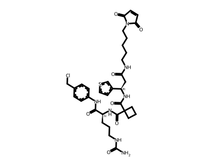 NC(=O)NCCC[C@H](NC(=O)C1(C(=O)N[C@H](CC(=O)NCCCCCN2C(=O)C=CC2=O)c2ccsc2)CCC1)C(=O)Nc1ccc(CCl)cc1